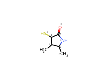 CC1NC(=O)C(S)C1C